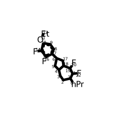 CCCC1CCC2CC(c3ccc(OCC)c(F)c3F)CC2C(F)C1F